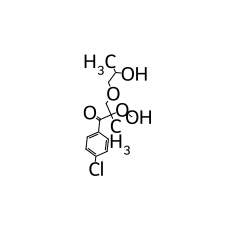 CC(O)COCC(C)(OO)C(=O)c1ccc(Cl)cc1